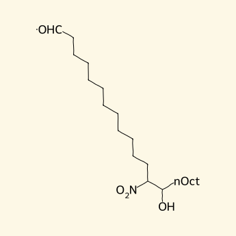 CCCCCCCCC(O)C(CCCCCCCCCCC[C]=O)[N+](=O)[O-]